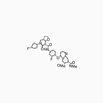 CNC(=O)c1cc2nccc(Oc3ccc(NC(=O)c4c5c(cn(-c6ccc(F)cc6)c4=O)CCO5)cc3F)c2cc1OC